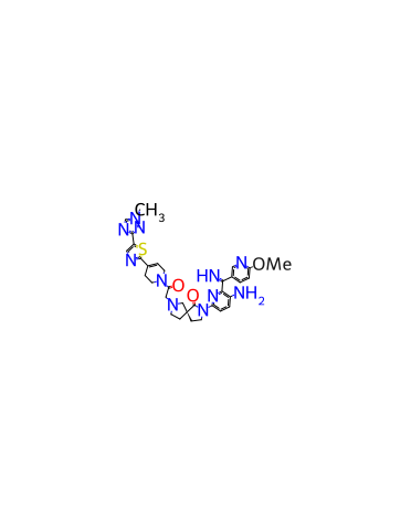 COc1ccc(C(=N)c2nc(N3CC[C@]4(CCN(CC(=O)N5CC=C(c6ncc(-c7ncn(C)n7)s6)CC5)C4)C3=O)ccc2N)cn1